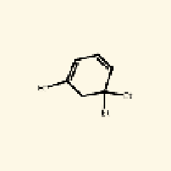 CCC1=CC=CC(CC)(CC)C1